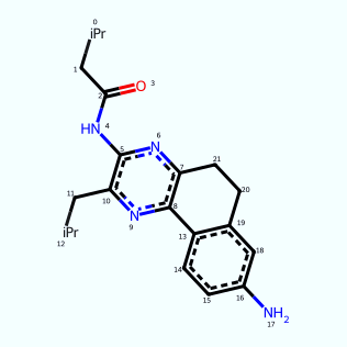 CC(C)CC(=O)Nc1nc2c(nc1CC(C)C)-c1ccc(N)cc1CC2